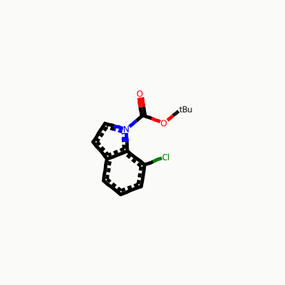 CC(C)(C)OC(=O)n1ccc2cccc(Cl)c21